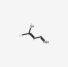 N=C/C=C(\S)I